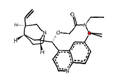 C=C[C@H]1CN2CC[C@H]1C[C@H]2[C@H](OCC(=O)N(CC)CC)c1ccnc2ccc(OC)cc12